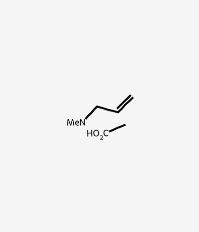 C=CCNC.CC(=O)O